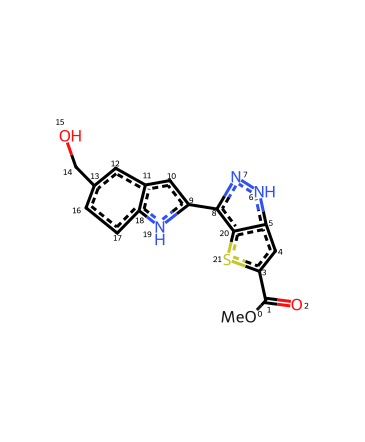 COC(=O)c1cc2[nH]nc(-c3cc4cc(CO)ccc4[nH]3)c2s1